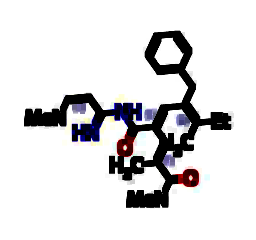 CC/C(C)=C(/C=C(\C=C(/C)C(=O)NC)C(=O)NC(=N)/C=C\NC)Cc1ccccc1